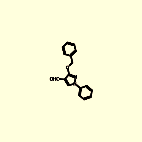 O=Cc1cn(-c2ccccc2)nc1OCc1ccccc1